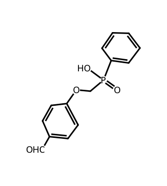 O=Cc1ccc(OCP(=O)(O)c2ccccc2)cc1